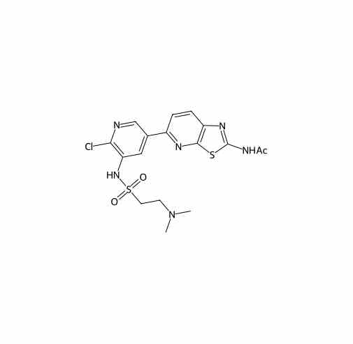 CC(=O)Nc1nc2ccc(-c3cnc(Cl)c(NS(=O)(=O)CCN(C)C)c3)nc2s1